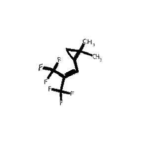 CC1(C)CC1C=C(C(F)(F)F)C(F)(F)F